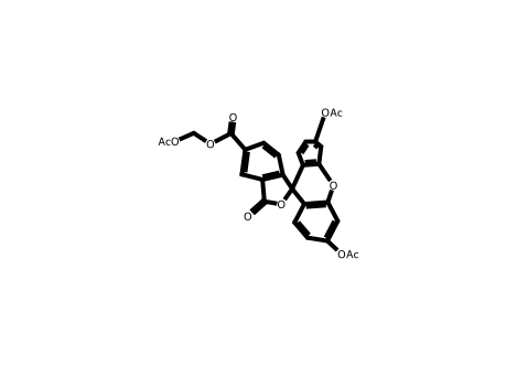 CC(=O)OCOC(=O)c1ccc2c(c1)C(=O)OC21c2ccc(OC(C)=O)cc2Oc2cc(OC(C)=O)ccc21